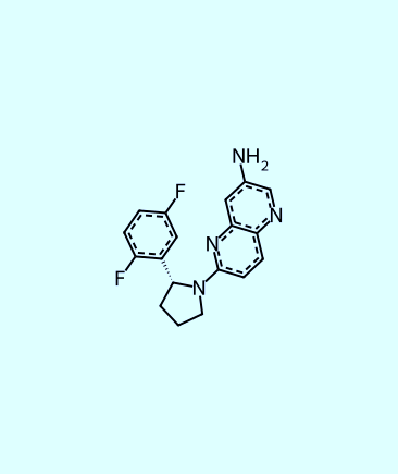 Nc1cnc2ccc(N3CCC[C@@H]3c3cc(F)ccc3F)nc2c1